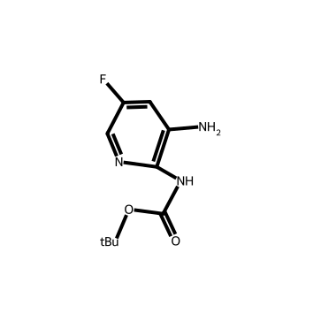 CC(C)(C)OC(=O)Nc1ncc(F)cc1N